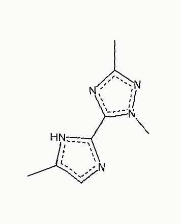 Cc1nc(-c2ncc(C)[nH]2)n(C)n1